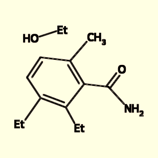 CCO.CCc1ccc(C)c(C(N)=O)c1CC